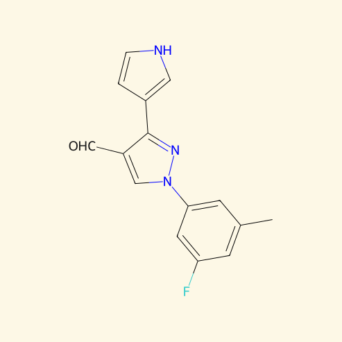 Cc1cc(F)cc(-n2cc(C=O)c(-c3cc[nH]c3)n2)c1